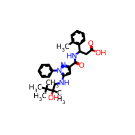 Cc1ccccc1C(CC(=O)O)NC(=O)c1cc(NCC(C)(O)C(C)(C)C)n(-c2ccccc2)n1